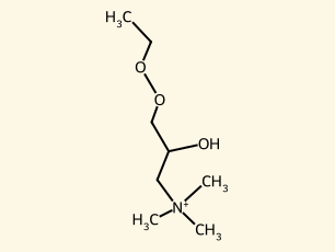 CCOOCC(O)C[N+](C)(C)C